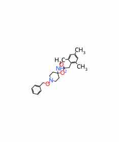 Cc1cc(C)c(CC(=O)OC2(N)CCN(OCc3ccccc3)CC2)c(C)c1